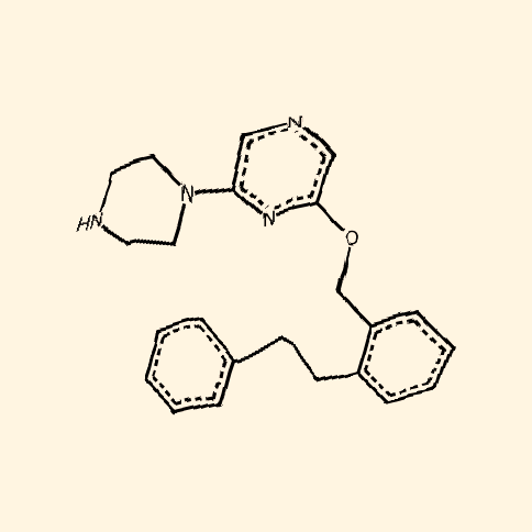 c1ccc(CCc2ccccc2COc2cncc(N3CCNCC3)n2)cc1